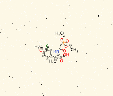 CCOP(=O)(CC(=O)NC(C(=O)O)C(C)c1ccc(OC)c(Cl)c1)OCC